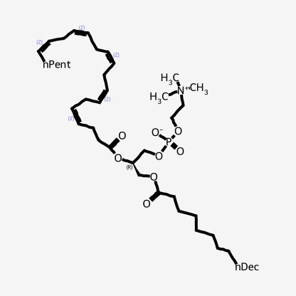 CCCCC/C=C\C/C=C\C/C=C\C/C=C\C/C=C\CCC(=O)O[C@H](COC(=O)CCCCCCCCCCCCCCCCC)COP(=O)([O-])OCC[N+](C)(C)C